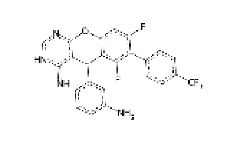 N=c1[nH]cnc2c1C(c1cccc(N)c1)c1c(cc(F)c(-c3ccc(C(F)(F)F)cc3)c1F)O2